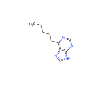 CCCCCc1ncnc2[nH]cnc12